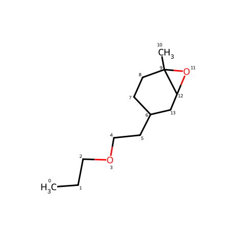 CCCOCCC1CCC2(C)OC2C1